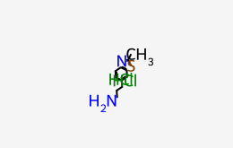 Cc1nc2ccc(CCCN)cc2s1.Cl.Cl